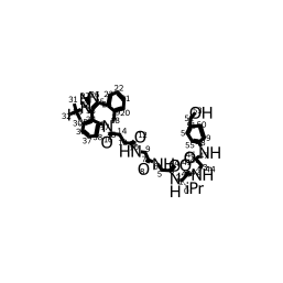 CC(C)[C@H](NC(=O)CNC(=O)CNC(=O)CCC(=O)N1Cc2ccccc2-c2nnn(C(C)(C)I)c2-c2ccccc21)C(=O)N[C@@H](C)C(=O)Nc1ccc(CO)cc1